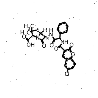 CC1(C)S[C@@H]2[C@H](NC(=O)C(NC(=O)c3cc4cc(Cl)ccc4oc3=O)c3ccccc3)C(=O)N2[C@H]1C(=O)O